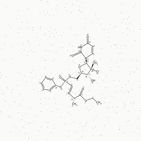 CCOC(=O)[C@H](C)/N=C/P(=O)(OC[C@H]1O[C@@H](n2ccc(=O)[nH]c2=O)[C@](C)(Cl)[C@@H]1O)Oc1ccccc1